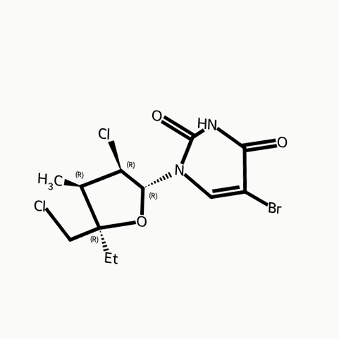 CC[C@@]1(CCl)O[C@@H](n2cc(Br)c(=O)[nH]c2=O)[C@H](Cl)[C@@H]1C